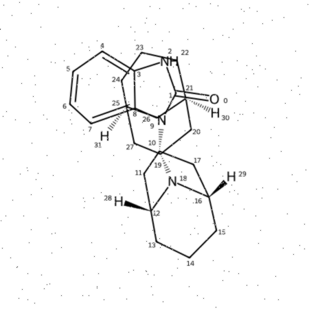 O=c1[nH]c2ccccc2n1[C@H]1C[C@H]2CCC[C@@H](C1)N2[C@H]1C[C@@H]2CCC[C@@H](C2)C1